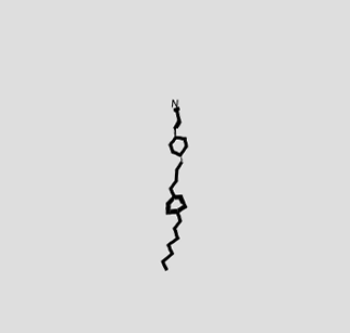 CCCCCCCc1ccc(CCCC[C@H]2CC[C@H](/C=C/C#N)CC2)cc1